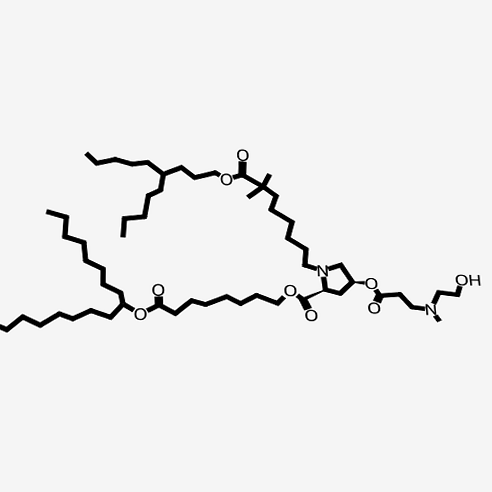 CCCCCCCCC(CCCCCCCC)OC(=O)CCCCCCCOC(=O)[C@@H]1C[C@H](OC(=O)CCN(C)CCO)CN1CCCCCCC(C)(C)C(=O)OCCCC(CCCCC)CCCCC